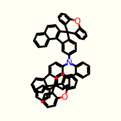 c1ccc(-c2ccc(-c3ccccc3N(c3ccc4c(c3)-c3c(ccc5ccccc35)C43c4ccccc4Oc4ccccc43)c3ccc4c(c3)C3(c5ccccc5Oc5ccccc53)c3ccccc3-4)cc2)cc1